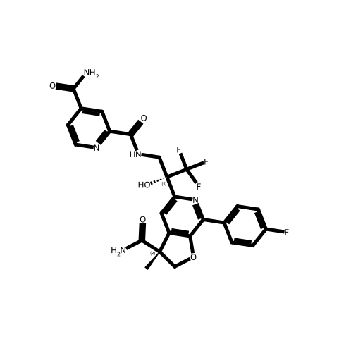 C[C@]1(C(N)=O)COc2c1cc([C@@](O)(CNC(=O)c1cc(C(N)=O)ccn1)C(F)(F)F)nc2-c1ccc(F)cc1